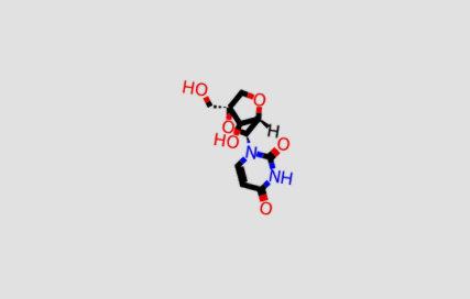 O=c1ccn([C@@H]2O[C@@]3(CO)CO[C@H]2C3O)c(=O)[nH]1